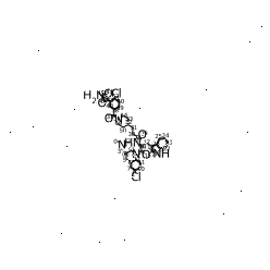 CN(C)C[C@H]1Cc2cc(Cl)ccc2N(C(=O)[C@@H](Cc2c[nH]c3ccccc23)NC(=O)CCC2CCN(C(=O)c3ccc(Cl)c(S(N)(=O)=O)c3)CC2)C1